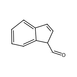 O=[C]C1C=Cc2ccccc21